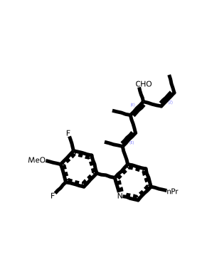 C\C=C/C(C=O)=C(C)\C=C(/C)c1cc(CCC)cnc1-c1cc(F)c(OC)c(F)c1